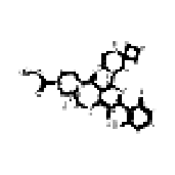 CC(C)(C)OC(=O)N1CCN2C(=O)c3c(N4CCOC5(CCC5)C4)nc(-c4c(O)cccc4F)c(Cl)c3OC[C@H]2C1